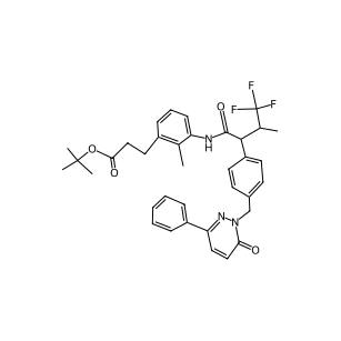 Cc1c(CCC(=O)OC(C)(C)C)cccc1NC(=O)C(c1ccc(Cn2nc(-c3ccccc3)ccc2=O)cc1)C(C)C(F)(F)F